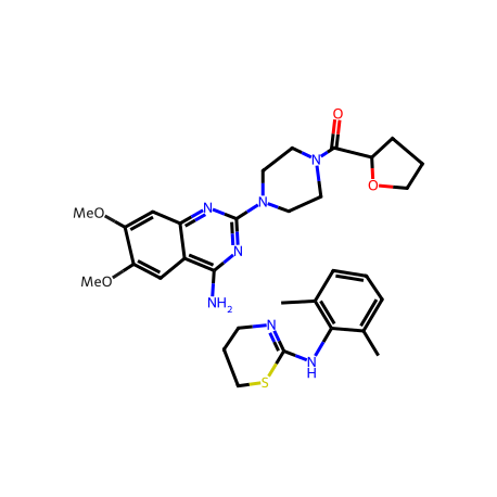 COc1cc2nc(N3CCN(C(=O)C4CCCO4)CC3)nc(N)c2cc1OC.Cc1cccc(C)c1NC1=NCCCS1